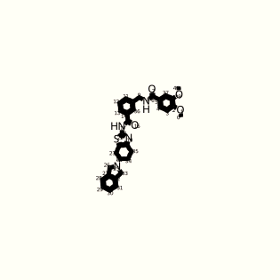 COc1ccc(C(=O)NCc2cccc(C(=O)Nc3nc4c(s3)C[C@@H](N3Cc5ccccc5C3)CC4)c2)cc1OC